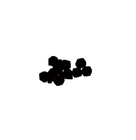 CC1(C)c2ccccc2-c2cccc(-c3ccccc3N(c3ccc(-c4ccc(-c5ccccc5)c(-c5ccccc5)c4)cc3)c3ccc4c(c3)C(C)(c3ccccc3)c3ccccc3-4)c21